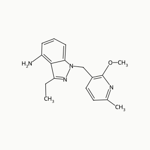 CCc1nn(Cc2ccc(C)nc2OC)c2cccc(N)c12